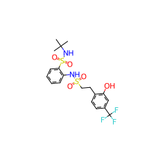 CC(C)(C)NS(=O)(=O)c1ccccc1NS(=O)(=O)CCc1ccc(C(F)(F)F)cc1O